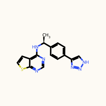 C[C@H](Nc1ncnc2sccc12)c1ccc(-c2c[nH]nn2)cc1